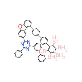 Bc1c(B)c(B)c(-c2ccc(-c3ccc(-c4cccc5oc6ccc(-c7nc(-c8ccccc8)nc(-c8cccc(-c9ccccc9)c8)n7)cc6c45)cc3)cc2)c(B)c1B